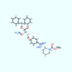 CC(C)(C)OC(=O)N1CCC[C@H](NC(=N)c2ccc(OC[C@H](ON)C(=O)OC(c3ccccc3)c3ccccc3)cc2)C1